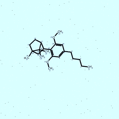 CCCCCc1cc(OC)c(C2CC3(C)CCC2C3(C)C)c(OC)c1